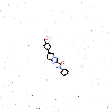 O=C(Nc1ccccc1)c1cn2cc(-c3ccc(CO)cc3)ccc2n1